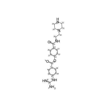 N=C(N)Nc1ccc(C(=O)Oc2ccc(C(=O)NCCN3CCNCC3)cc2)cc1